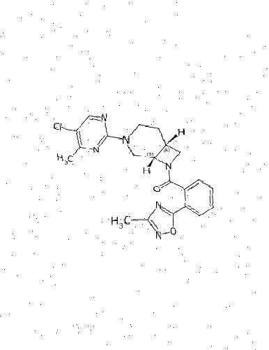 Cc1noc(-c2ccccc2C(=O)N2C[C@H]3CCN(c4ncc(Cl)c(C)n4)C[C@H]32)n1